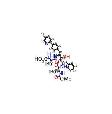 COC(=O)N[C@H](C(=O)N[C@@H](Cc1ccccc1)C[C@H](O)[C@H](Cc1ccc(-c2ccc(C)cn2)cc1)NC(=O)[C@@H](NC(=O)O)C(C)(C)C)C(C)(C)C